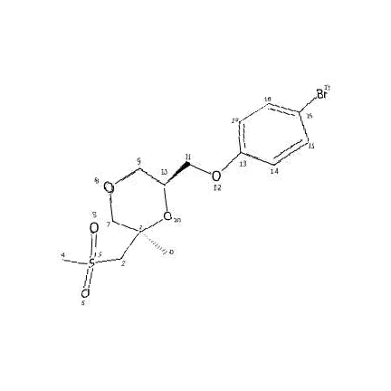 C[C@]1(CS(C)(=O)=O)COC[C@@H](COc2ccc(Br)cc2)O1